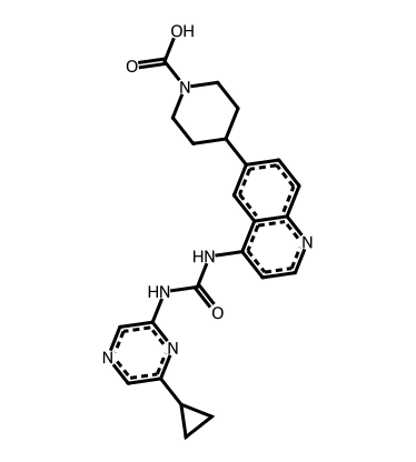 O=C(Nc1cncc(C2CC2)n1)Nc1ccnc2ccc(C3CCN(C(=O)O)CC3)cc12